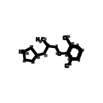 CC(COc1c(Cl)cccc1Cl)CC1CCNC1